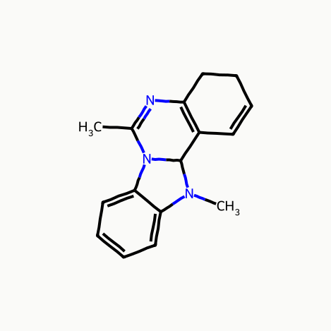 CC1=NC2=C(C=CCC2)C2N(C)c3ccccc3N12